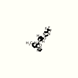 Cc1ccc(-n2nccn2)c(C(=O)N2C[C@H]3C[C@@H](Oc4cnc(C(F)(F)F)cn4)[C@@H]2C3)n1